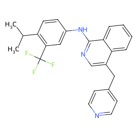 CC(C)c1ccc(Nc2ncc(Cc3ccncc3)c3ccccc23)cc1C(F)(F)F